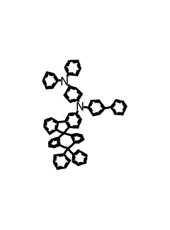 c1ccc(-c2ccc(N(c3ccc(N(c4ccccc4)c4ccccc4)cc3)c3ccc4c(c3)-c3ccccc3C43c4ccccc4C(c4ccccc4)(c4ccccc4)c4ccccc43)cc2)cc1